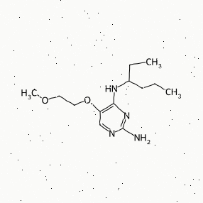 CCCC(CC)Nc1nc(N)ncc1OCCOC